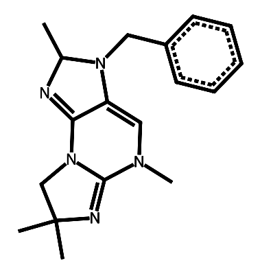 CC1N=C2C(=CN(C)C3=NC(C)(C)CN23)N1Cc1ccccc1